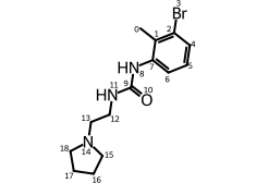 Cc1c(Br)cccc1NC(=O)NCCN1CCCC1